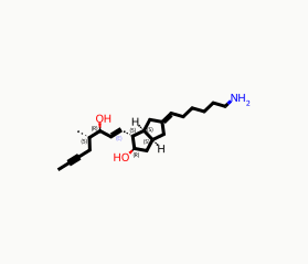 CC#CC[C@H](C)[C@@H](O)/C=C/[C@@H]1[C@H]2CC(=CCCCCCN)C[C@H]2C[C@H]1O